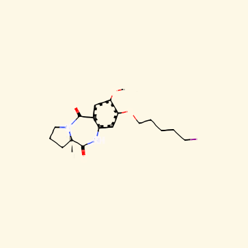 COc1cc2c(cc1OCCCCCI)NC(=O)[C@@H]1CCCN1C2=O